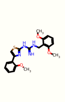 COc1ccccc1-c1csc(NC(=N)NCc2c(OC)cccc2OC)n1